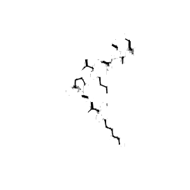 C=C(C)C(=O)OCCCC.C=C(C)C(=O)OCCCCCC.C=C(F)F.C=CN1CCCC1=O.C=COC(C)=O.CC=CF